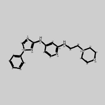 c1ccc(-n2cnc(Nc3ccnc(NCCN4CCOCC4)c3)n2)cc1